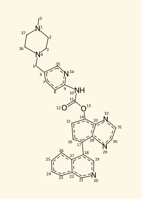 CN1CCN(Cc2ccc(NC(=O)Oc3ccc(-c4cncc5ccccc45)c4nccnc34)nc2)CC1